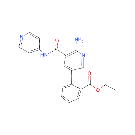 CCOC(=O)c1ccccc1-c1cnc(N)c(C(=O)Nc2ccncc2)c1